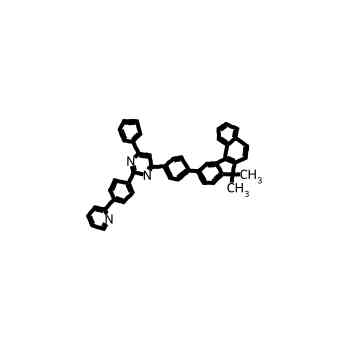 CC1(C)c2ccc(-c3ccc(-c4cc(-c5ccccc5)nc(-c5ccc(-c6ccccn6)cc5)n4)cc3)cc2-c2c1ccc1ccccc21